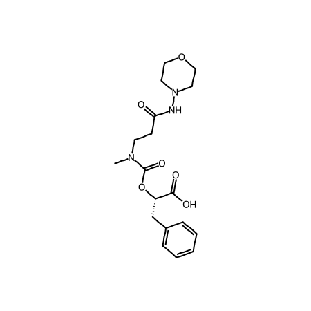 CN(CCC(=O)NN1CCOCC1)C(=O)O[C@@H](Cc1ccccc1)C(=O)O